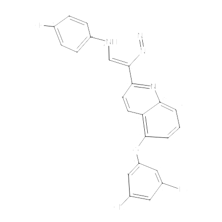 N=N/C(=C\Nc1ccc(F)cc1)c1ccc2c(Oc3cc(Cl)cc(I)c3)cccc2n1